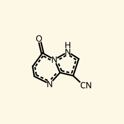 N#Cc1c[nH]n2c(=O)ccnc12